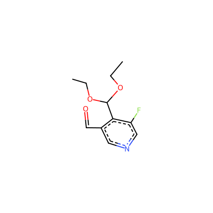 CCOC(OCC)c1c(F)cncc1C=O